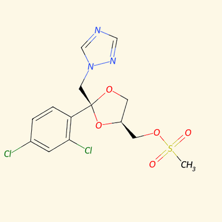 CS(=O)(=O)OC[C@@H]1CO[C@@](Cn2cncn2)(c2ccc(Cl)cc2Cl)O1